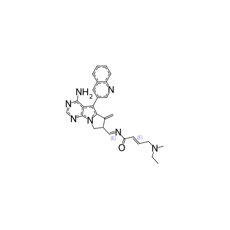 C=C1c2c(-c3cnc4ccccc4c3)c3c(N)ncnc3n2CC1/C=N/C(=O)/C=C/CN(C)CC